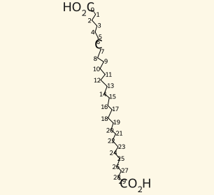 O=C(O)CCCCCCCCCCCCCCCCCCCCCCCCCCCCC(=O)O